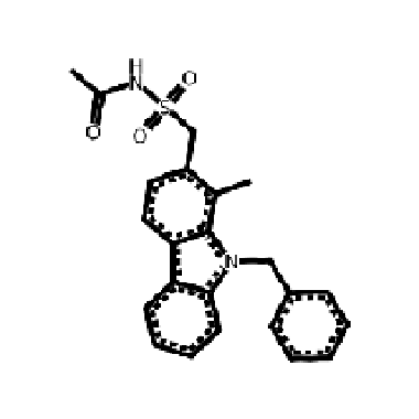 CC(=O)NS(=O)(=O)Cc1ccc2c3ccccc3n(Cc3ccccc3)c2c1C